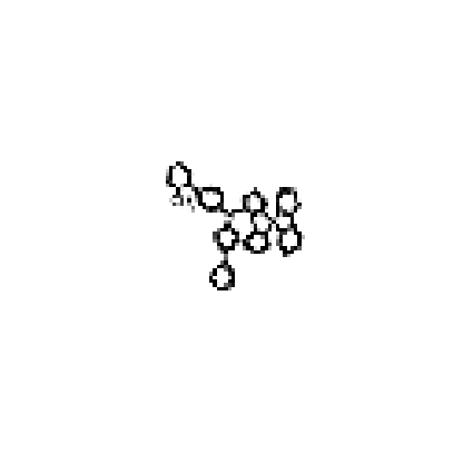 CC1C=CC=CC1c1ccc(N(c2ccc(-c3ccccc3)cc2)c2cccc3c2-c2ccccc2C32c3ccccc3-c3ccccc32)cc1